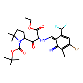 CCOC(=O)C(N/C=C1\C(=N)C(C)=C(Br)C=C1C(F)F)C(=O)C1CCC(C)(C)N1C(=O)OC(C)(C)C